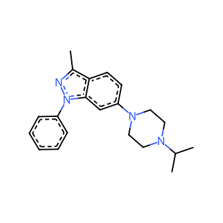 Cc1nn(-c2ccccc2)c2cc(N3CCN(C(C)C)CC3)ccc12